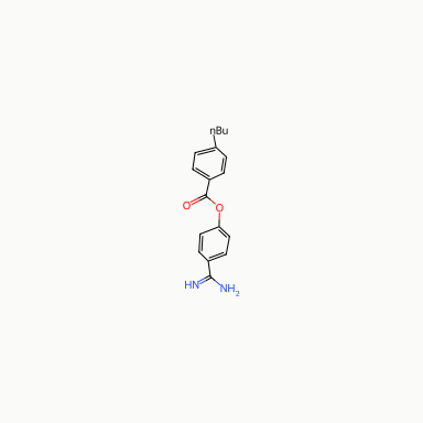 CCCCc1ccc(C(=O)Oc2ccc(C(=N)N)cc2)cc1